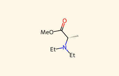 [CH2]OC(=O)[C@H](C)N(CC)CC